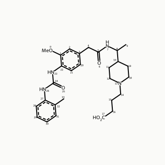 COc1cc(CC(=O)NC(C)C2CCN(CCCC(=O)O)CC2)ccc1NC(=O)Nc1ccccc1C